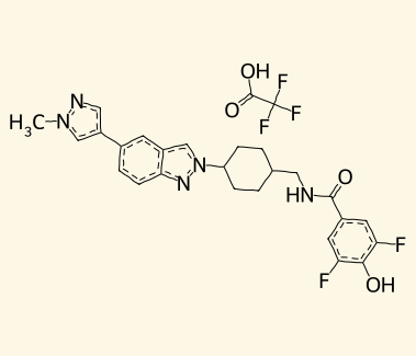 Cn1cc(-c2ccc3nn(C4CCC(CNC(=O)c5cc(F)c(O)c(F)c5)CC4)cc3c2)cn1.O=C(O)C(F)(F)F